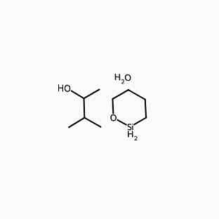 C1CC[SiH2]OC1.CC(C)C(C)O.O